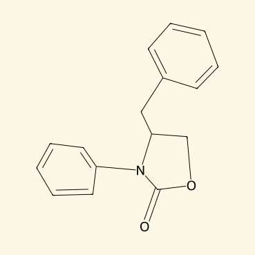 O=C1OCC(Cc2ccccc2)N1c1ccccc1